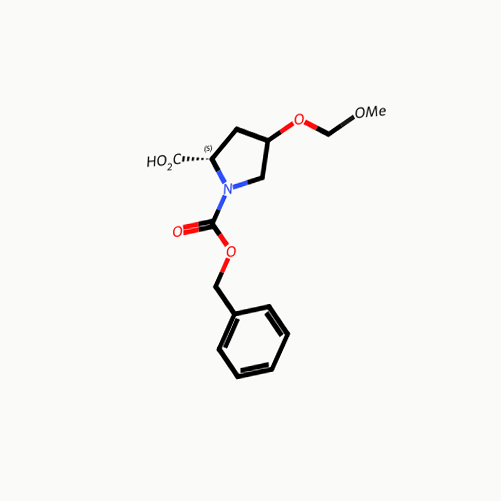 COCOC1C[C@@H](C(=O)O)N(C(=O)OCc2ccccc2)C1